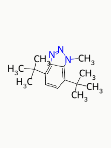 Cn1nnc2c(C(C)(C)C)ccc(C(C)(C)C)c21